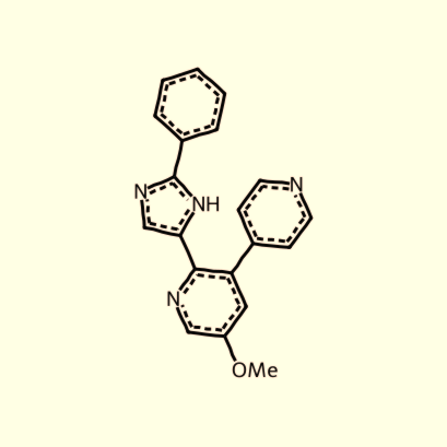 COc1cnc(-c2cnc(-c3ccccc3)[nH]2)c(-c2ccncc2)c1